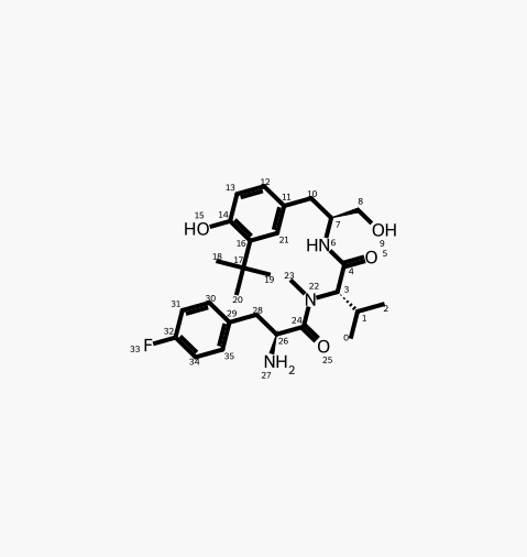 CC(C)[C@@H](C(=O)N[C@H](CO)Cc1ccc(O)c(C(C)(C)C)c1)N(C)C(=O)[C@@H](N)Cc1ccc(F)cc1